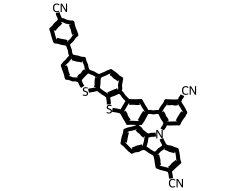 N#Cc1ccc(-c2ccc3sc4c(ccc5c6cc(-c7cc(C#N)ccc7-n7c8ccccc8c8cc(C#N)ccc87)ccc6sc54)c3c2)cc1